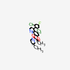 C[C@@H]1CCCN(C(=O)[C@@H](C)Oc2ccc3c(-c4c(Cl)cc(F)cc4Cl)ccnc3c2)C1